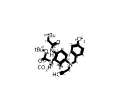 C#CCN(Cc1ccc(C(F)(F)F)cc1)c1ccc(NC(=O)CC(C)(C)C)c(N(C(=O)O)C(=O)OC(C)(C)C)c1F